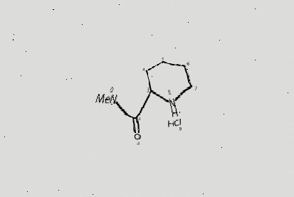 CNC(=O)C1CCCCN1.Cl